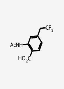 CC(=O)Nc1cc(CC(F)(F)F)ccc1C(=O)O